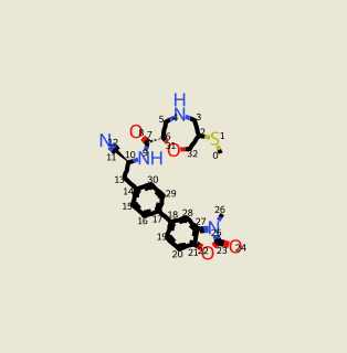 CSC1CNC[C@@H](C(=O)N[C@H](C#N)Cc2ccc(-c3ccc4oc(=O)n(C)c4c3)cc2)OC1